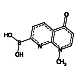 Cn1ccc(=O)c2ccc(B(O)O)nc21